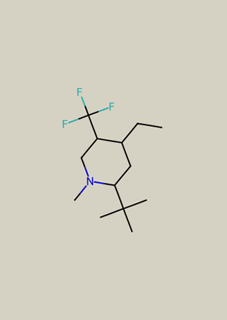 CCC1CC(C(C)(C)C)N(C)CC1C(F)(F)F